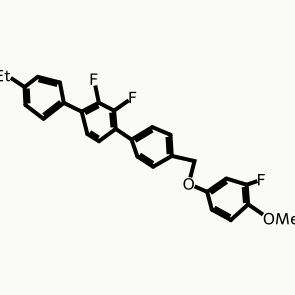 CCc1ccc(-c2ccc(-c3ccc(COc4ccc(OC)c(F)c4)cc3)c(F)c2F)cc1